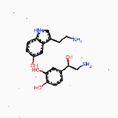 NCCc1c[nH]c2ccc(O)cc12.NC[C@H](O)c1ccc(O)c(O)c1